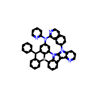 c1ccc(C2c3ccccc3B3c4c2cc(N(c2ccccn2)c2ccccn2)cc4-n2c4c3cccc4c3c4ncccc4n(-c4ccccc4)c32)cc1